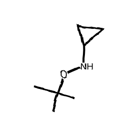 CC(C)(C)ONC1CC1